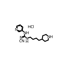 Cl.N#C/N=C(\NCCCCC1CCNCC1)Nc1cccnc1